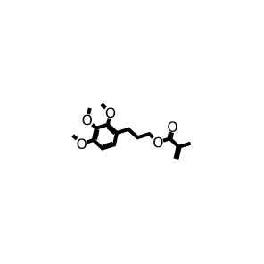 C=C(C)C(=O)OCCCc1ccc(OC)c(OC)c1OC